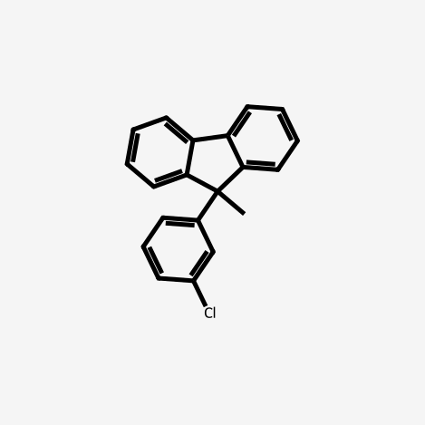 CC1(c2cccc(Cl)c2)c2ccccc2-c2ccccc21